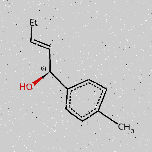 CCC=C[C@H](O)c1ccc(C)cc1